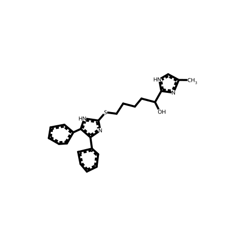 Cc1c[nH]c(C(O)CCCCSc2nc(-c3ccccc3)c(-c3ccccc3)[nH]2)n1